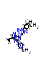 Cc1cc2nc(CNc3nc(N4CCN(C)CC4)nc4c(C5CC5)cnn34)[nH]c2cc1C